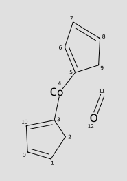 C1=CC[C]([Co][C]2=CC=CC2)=C1.C=O